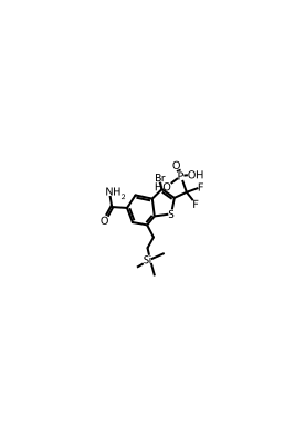 C[Si](C)(C)CCc1cc(C(N)=O)cc2c(Br)c(C(F)(F)P(=O)(O)O)sc12